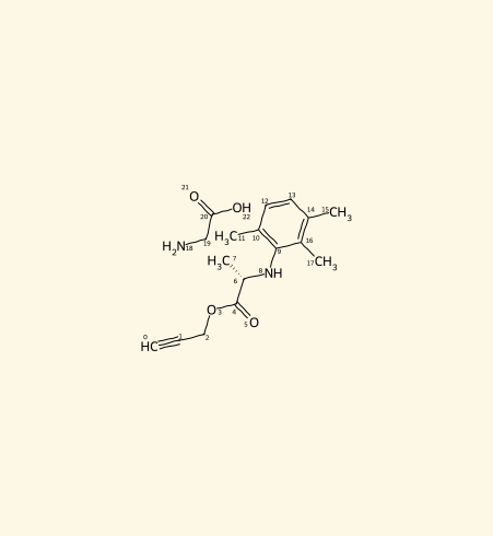 C#CCOC(=O)[C@H](C)Nc1c(C)ccc(C)c1C.NCC(=O)O